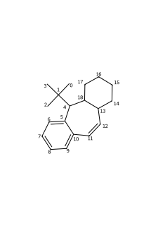 CC(C)(C)C1c2ccccc2C=CC2CCCCC21